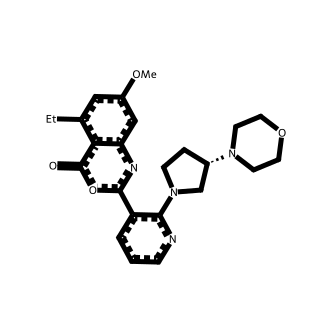 CCc1cc(OC)cc2nc(-c3cccnc3N3CC[C@H](N4CCOCC4)C3)oc(=O)c12